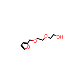 OCCOCCOCc1ccco1